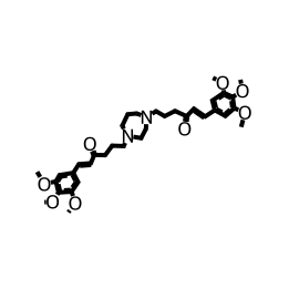 COc1cc(/C=C/C(=O)CCCN2CCCN(CCCC(=O)/C=C/c3cc(OC)c(OC)c(OC)c3)CC2)cc(OC)c1OC